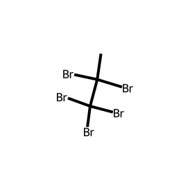 CC(Br)(Br)C(Br)(Br)Br